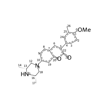 COc1ccc(-c2cc3ccc(N4C[C@@H](C)N[C@@H](C)C4)cc3oc2=O)cc1C